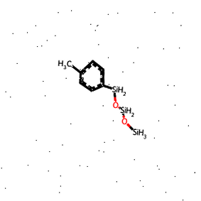 Cc1ccc([SiH2]O[SiH2]O[SiH3])cc1